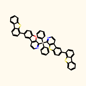 c1ccc([Si](c2ccccc2)(c2nccc3c2oc2ccc(-c4cccc5c4sc4ccccc45)cc23)c2nccc3c2sc2ccc(-c4cccc5c4sc4ccccc45)cc23)cc1